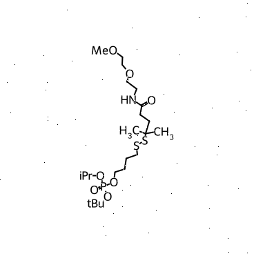 COCCOCCNC(=O)CCC(C)(C)SSCCCCOP(=O)(OC(C)C)OC(C)(C)C